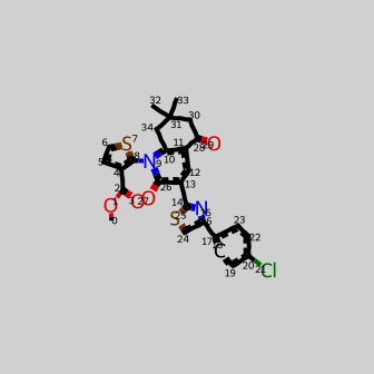 COC(=O)c1ccsc1-n1c2c(cc(-c3nc(-c4ccc(Cl)cc4)cs3)c1=O)C(=O)CC(C)(C)C2